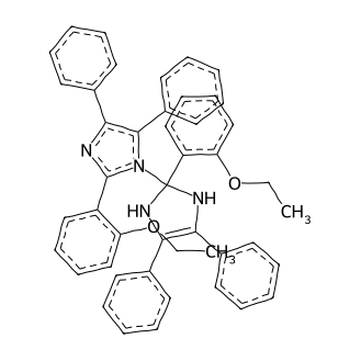 CCOc1ccccc1-c1nc(-c2ccccc2)c(-c2ccccc2)n1C1(c2ccccc2OCC)NC(c2ccccc2)=C(c2ccccc2)N1